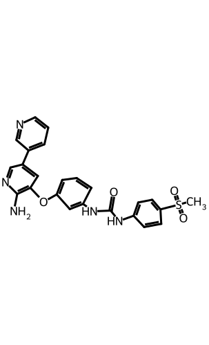 CS(=O)(=O)c1ccc(NC(=O)Nc2cccc(Oc3cc(-c4cccnc4)cnc3N)c2)cc1